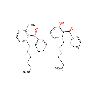 CCCCCCCCCCCCCCCc1cccc(O)c1C(=O)c1ccccc1.CCCCCCCCCCCCCCCc1cccc(OC)c1C(=O)c1ccccc1